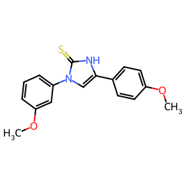 COc1ccc(-c2cn(-c3cccc(OC)c3)c(=S)[nH]2)cc1